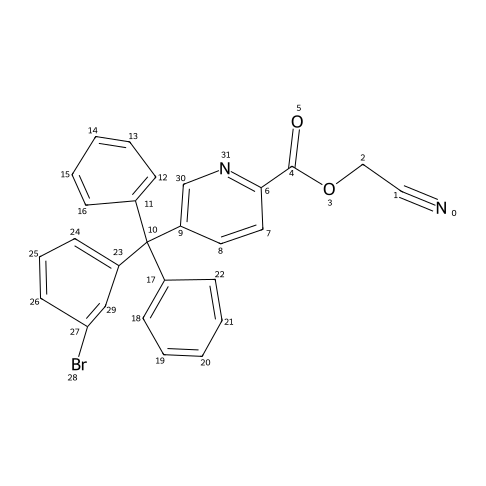 N#CCOC(=O)c1ccc(C(c2ccccc2)(c2ccccc2)c2cccc(Br)c2)cn1